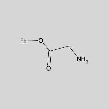 CCOC(=O)[CH]N